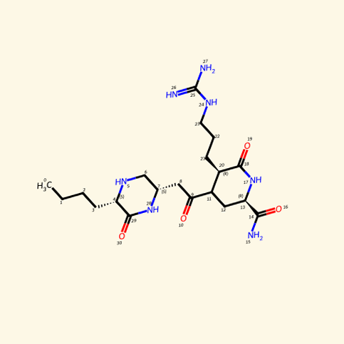 CCCC[C@@H]1NC[C@H](CC(=O)C2C[C@H](C(N)=O)NC(=O)[C@@H]2CCCNC(=N)N)NC1=O